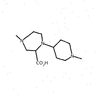 CN1CCC(N2CCN(C)CC2C(=O)O)CC1